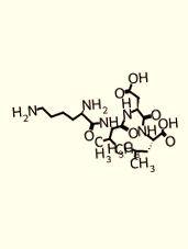 CC(C)C[C@H](NC(=O)[C@H](CC(=O)O)NC(=O)[C@@H](NC(=O)[C@@H](N)CCCCN)C(C)C)C(=O)O